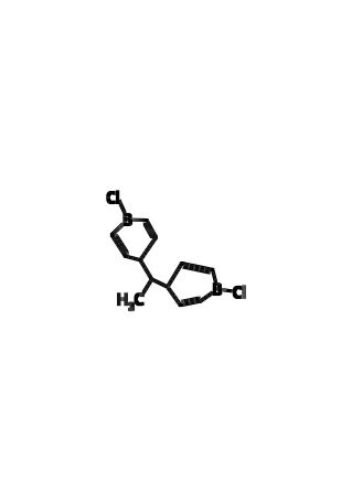 CC(C1C=CB(Cl)C=C1)C1C=CB(Cl)C=C1